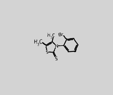 Cc1sc(=S)n(-c2ccccc2Br)c1C